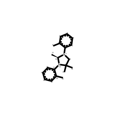 Cc1ccccc1N1CC(C)(C)N(c2ccccc2C)[C@H]1C